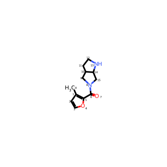 Cc1ccoc1C(=O)N1CC2CCNC2C1